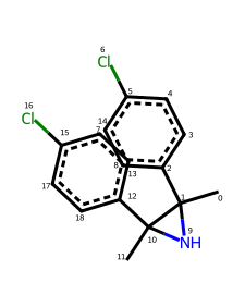 CC1(c2ccc(Cl)cc2)NC1(C)c1ccc(Cl)cc1